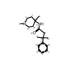 CN1CCC(C)(NC(=O)CC(C)(C)c2ccccc2)CC1